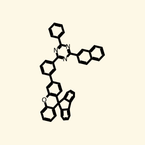 c1ccc(-c2nc(-c3cccc(-c4ccc5c(c4)Oc4ccccc4C54c5ccccc5-c5ccccc54)c3)nc(-c3ccc4ccccc4c3)n2)cc1